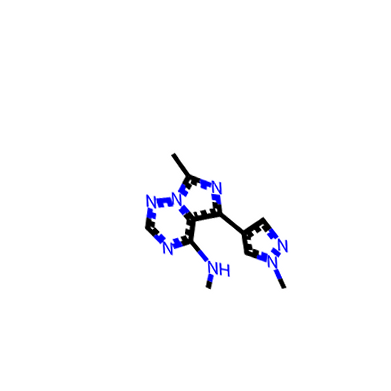 CNc1ncnn2c(C)nc(-c3cnn(C)c3)c12